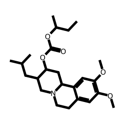 CCC(C)OC(=O)OC1CC2c3cc(OC)c(OC)cc3CCN2CC1CC(C)C